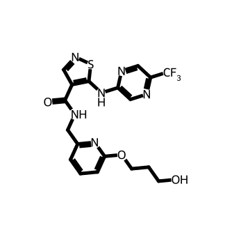 O=C(NCc1cccc(OCCCO)n1)c1cnsc1Nc1cnc(C(F)(F)F)cn1